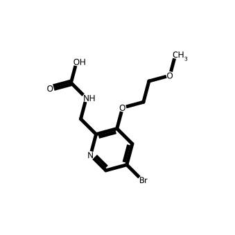 COCCOc1cc(Br)cnc1CNC(=O)O